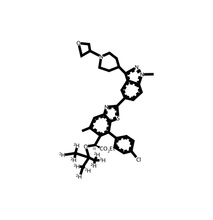 [2H]C([2H])([2H])C(O[C@H](C(=O)OCC)c1c(C)cc2nc(-c3ccc4c(c3)c(C3CCN(C5COC5)CC3)nn4C)sc2c1-c1ccc(Cl)cc1)(C([2H])([2H])[2H])C([2H])([2H])[2H]